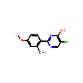 COc1cc(OC(F)(F)F)ccc1-c1ncc(Cl)c(O)n1